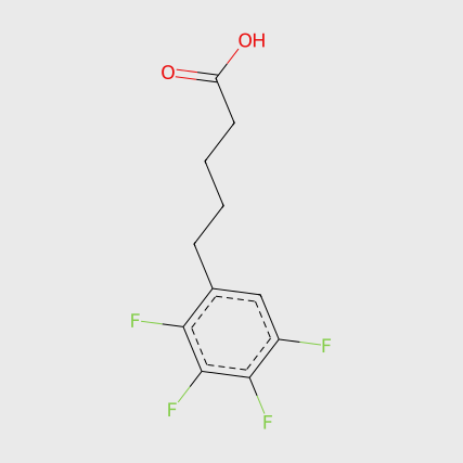 O=C(O)CCCCc1cc(F)c(F)c(F)c1F